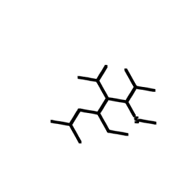 CCC(CC(C)C)C(C(C)C)C(SC)C(C)C